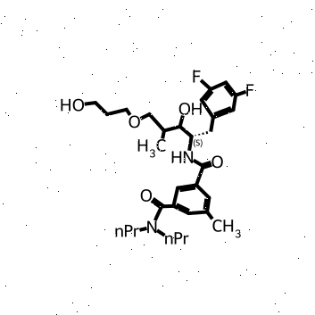 CCCN(CCC)C(=O)c1cc(C)cc(C(=O)N[C@@H](Cc2cc(F)cc(F)c2)C(O)C(C)COCCCO)c1